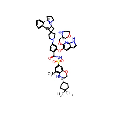 CC(C)c1ccccc1[C@@H]1CCCN1C1CC2(CCN(c3ccc(C(=O)NS(=O)(=O)c4cc5c(c([N+](=O)[O-])c4)N[C@@H](C4CCC(C)(C)CC4)CO5)c(Oc4cc5cc[nH]c5nc4OC[C@@H]4COCCN4)c3)CC2)C1